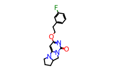 O=c1nc(OCCc2cccc(F)c2)cc2n1CC1CCCN21